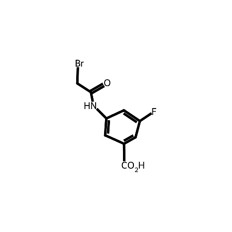 O=C(CBr)Nc1cc(F)cc(C(=O)O)c1